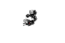 CC(C)(C)c1cc(-[n+]2cn(-c3cccc(Oc4ccc5c6cc(-c7ccccc7)ccc6n(-c6cc(C(C)(C)C)ccn6)c5c4)c3)c3cccc(-c4ccccc4)c32)cc(C(C)(C)C)c1